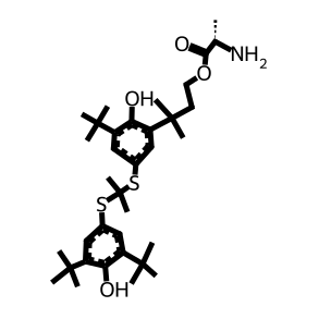 C[C@H](N)C(=O)OCCC(C)(C)c1cc(SC(C)(C)Sc2cc(C(C)(C)C)c(O)c(C(C)(C)C)c2)cc(C(C)(C)C)c1O